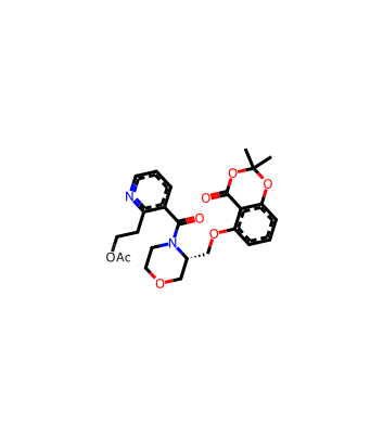 CC(=O)OCCc1ncccc1C(=O)N1CCOC[C@H]1COc1cccc2c1C(=O)OC(C)(C)O2